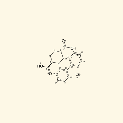 O=C(O)[C@H]1CC[C@H](C(=O)O)CC1.[Cu].c1cc(-c2ccncc2)ccn1